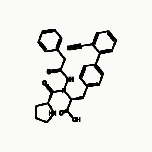 N#Cc1ccccc1-c1ccc(C[C@@H](C(=O)O)N(NC(=O)Cc2ccccc2)C(=O)[C@@H]2CCCN2)cc1